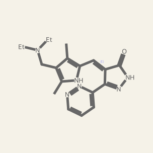 CCN(CC)Cc1c(C)[nH]c(/C=C2/C(=O)NN=C2c2cccnn2)c1C